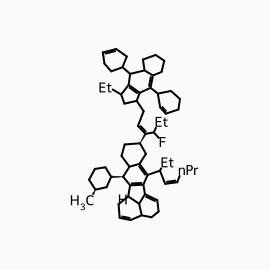 CCC/C=C\C(CC)C1=C2C[C@H](/C(=C/CC3CC(CC)C4=C3C(C3C=CCCC3)=C3CCCCC3C4C3CC=CCC3)C(F)CC)CCC2[C@H](C2CCC[C@H](C)C2)C2=C1C1=CCCC3C=CC[C@@H]2C13